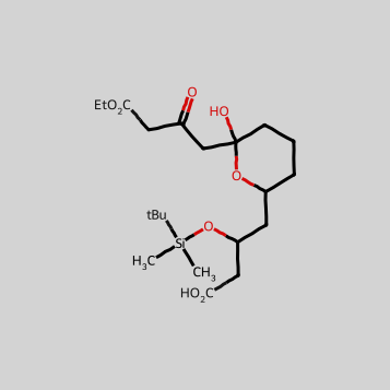 CCOC(=O)CC(=O)CC1(O)CCCC(CC(CC(=O)O)O[Si](C)(C)C(C)(C)C)O1